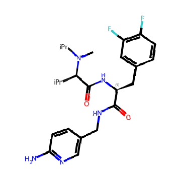 CC(C)C(C(=O)N[C@@H](Cc1ccc(F)c(F)c1)C(=O)NCc1ccc(N)nc1)N(C)C(C)C